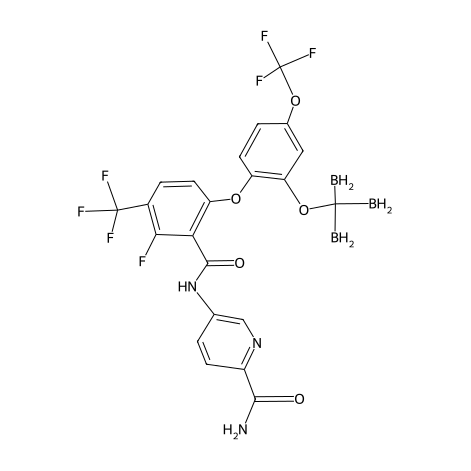 BC(B)(B)Oc1cc(OC(F)(F)F)ccc1Oc1ccc(C(F)(F)F)c(F)c1C(=O)Nc1ccc(C(N)=O)nc1